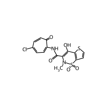 CN1C(C(=O)Nc2ccc(Cl)ccc2=O)=C(O)c2sccc2S1(=O)=O